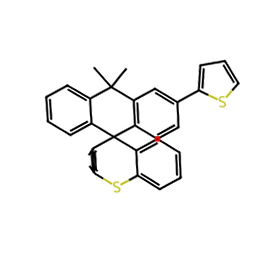 CC1(C)c2ccccc2C2(c3ccccc3Sc3ccccc32)c2ccc(-c3cccs3)cc21